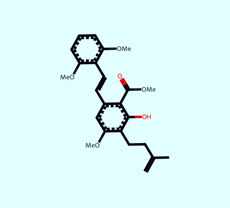 C=C(C)CCc1c(OC)cc(/C=C/c2c(OC)cccc2OC)c(C(=O)OC)c1O